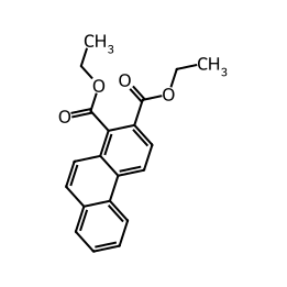 CCOC(=O)c1ccc2c(ccc3ccccc32)c1C(=O)OCC